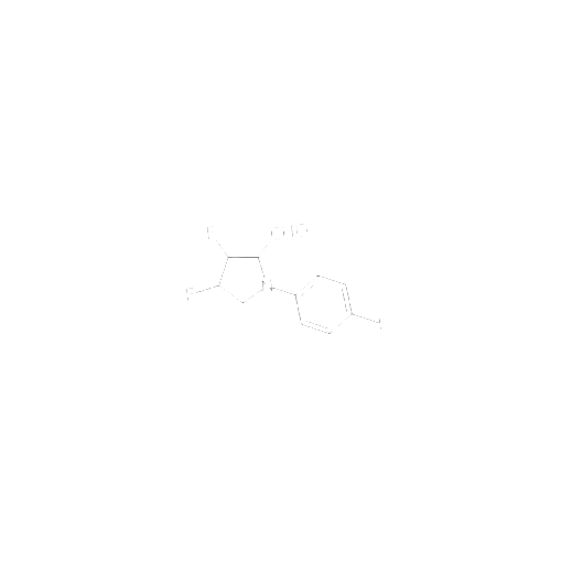 O=CC1C(F)C(F)CN1c1ccc(I)cc1